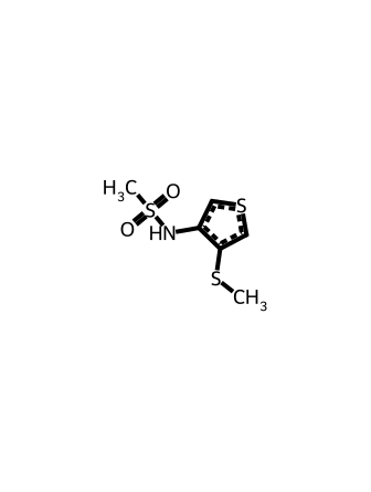 CSc1cscc1NS(C)(=O)=O